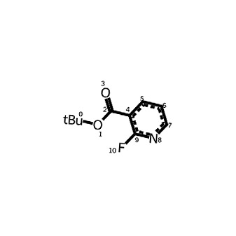 CC(C)(C)OC(=O)c1cccnc1F